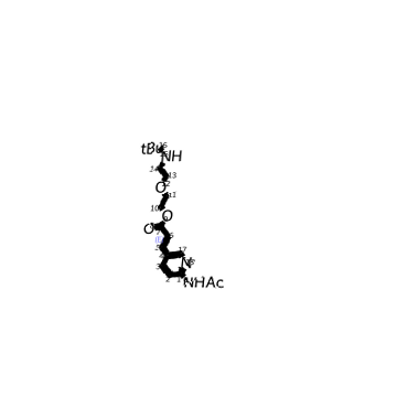 CC(=O)Nc1ccc(/C=C/C(=O)OCCOCCNC(C)(C)C)cn1